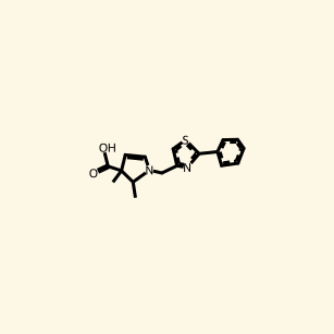 CC1N(Cc2csc(-c3ccccc3)n2)C=CC1(C)C(=O)O